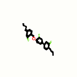 C=CCCc1ccc(COc2ccc(-c3ccc(C/C=C/C)c(F)c3)cc2F)c(F)c1